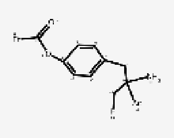 CCC(=O)Oc1ccc(CC(N)(CF)C(C)=O)cc1